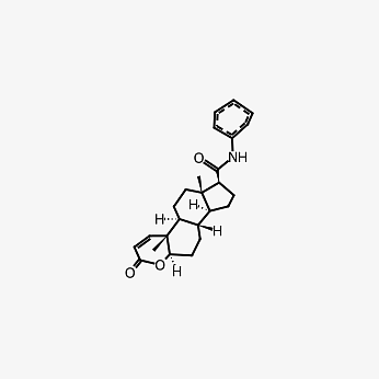 C[C@]12C=CC(=O)O[C@@H]1CC[C@@H]1[C@@H]2CC[C@]2(C)[C@@H](C(=O)Nc3ccccc3)CC[C@@H]12